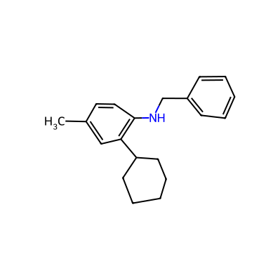 Cc1ccc(NCc2ccccc2)c(C2CCCCC2)c1